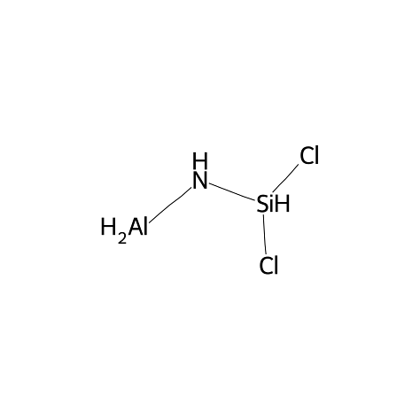 [AlH2][NH][SiH](Cl)Cl